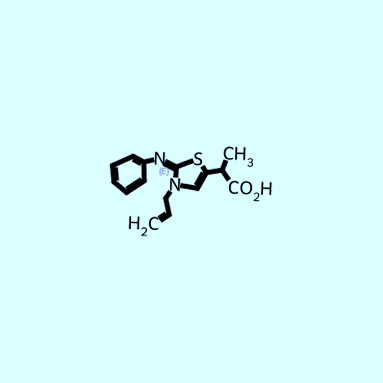 C=CCn1cc(C(C)C(=O)O)s/c1=N/c1ccccc1